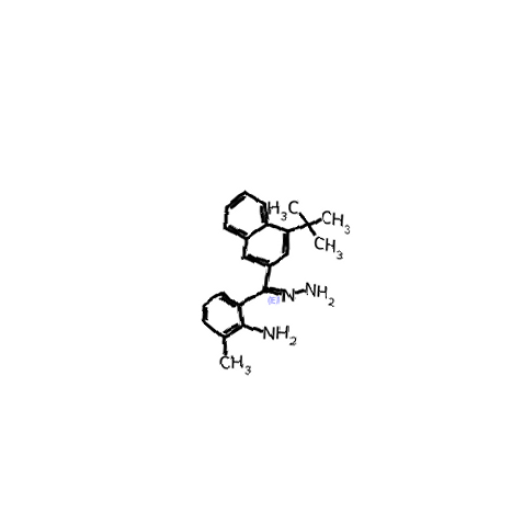 Cc1cccc(/C(=N/N)c2cc(C(C)(C)C)c3ccccc3c2)c1N